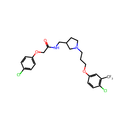 O=C(COc1ccc(Cl)cc1)NCC1CCN(CCCOc2ccc(Cl)c(C(F)(F)F)c2)C1